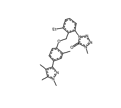 CCc1cccc(-n2nnn(C)c2=O)c1COc1ccc(-c2nn(C)c(C)c2C)cc1C